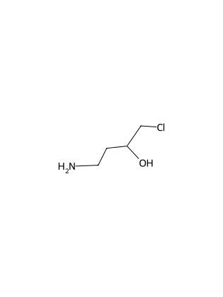 NCCC(O)CCl